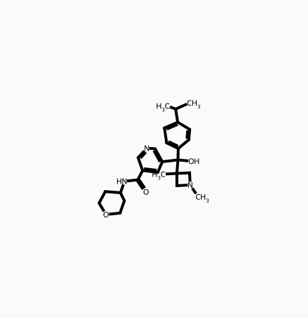 CC(C)c1ccc(C(O)(c2cncc(C(=O)NC3CCOCC3)c2)C2(C)CN(C)C2)cc1